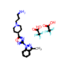 Cc1nn(-c2noc(C3CCN(CCCN)CC3)n2)c2ccccc12.O=C(O)C(F)(F)F.O=C(O)C(F)(F)F